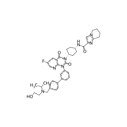 CC(C)N(CCO)Cc1ccc(-c2cccc(-n3c(=O)n([C@H]4CC[C@@H](NC(=O)c5cn6c(n5)CCCC6)CC4)c(=O)c4cc(F)cnc43)c2)cc1